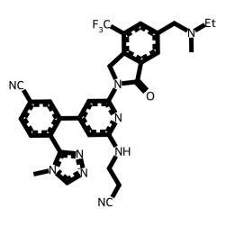 CCN(C)Cc1cc2c(c(C(F)(F)F)c1)CN(c1cc(-c3cc(C#N)ccc3-c3nncn3C)cc(NCCC#N)n1)C2=O